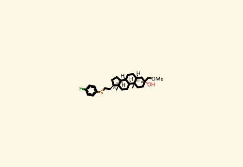 COC[C@@]1(O)CC[C@@]2(C)[C@@H](CC[C@@H]3[C@@H]2CC[C@]2(C)[C@@H](CCSc4ccc(F)cc4)CC[C@@H]32)C1